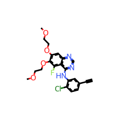 C#Cc1ccc(Cl)c(Nc2ncnc3cc(OCCOC)c(OCCOC)c(F)c23)c1